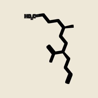 C=CCC[C@H](CC[C@H](C)CCCC(=O)O)C(=C)C